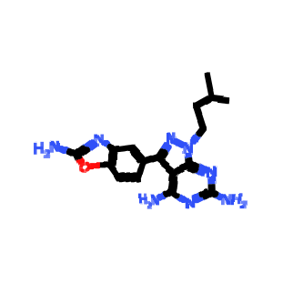 CC(C)CCn1nc(-c2ccc3oc(N)nc3c2)c2c(N)nc(N)nc21